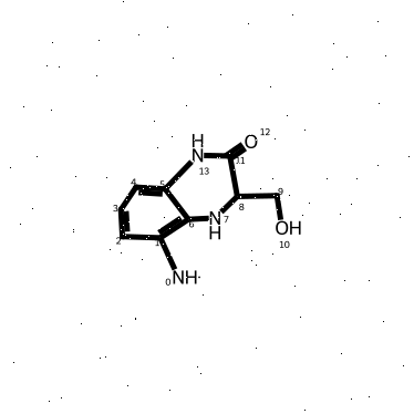 [NH]c1cccc2c1NC(CO)C(=O)N2